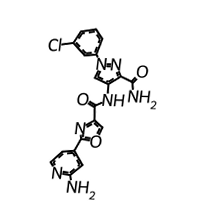 NC(=O)c1nn(-c2cccc(Cl)c2)cc1NC(=O)c1coc(-c2ccnc(N)c2)n1